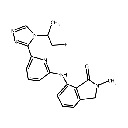 CC(CF)n1cnnc1-c1cccc(Nc2cccc3c2C(=O)N(C)C3)n1